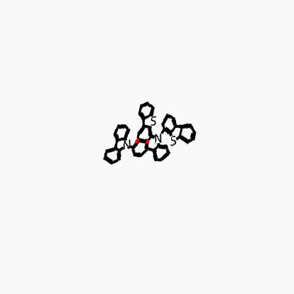 c1ccc(N(c2cccc3c2sc2ccccc23)c2cccc3c2sc2ccccc23)c(-c2ccc(-n3c4ccccc4c4ccccc43)cc2)c1